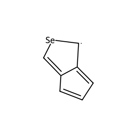 [CH]1[Se]C=C2C=CC=C12